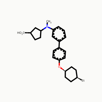 CC[C@H]1CC[C@@H](Oc2ccc(-c3cccc(N(C)C4CCC(C(=O)O)C4)c3)cc2)CC1